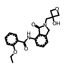 CCOc1ccccc1C(=O)Nc1cccc2c1C(=O)N(CC1(O)COC1)C2